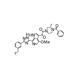 COc1cnc(-c2nc(-c3cccc(CI)c3)n[nH]2)c2[nH]cc(C(=O)C(=O)N3CCN(C(=O)c4ccccc4)[C@H](C)C3)c12